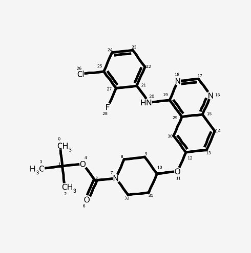 CC(C)(C)OC(=O)N1CCC(Oc2ccc3ncnc(Nc4cccc(Cl)c4F)c3c2)CC1